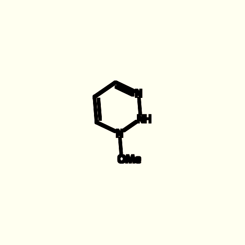 CON1C=CC=NN1